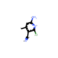 Cc1cc(N)nc(Cl)c1C#N